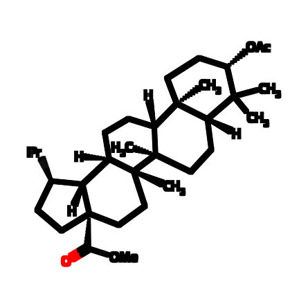 COC(=O)[C@]12CC[C@@H](C(C)C)[C@@H]1[C@H]1CC[C@@H]3[C@@]4(C)CC[C@H](OC(C)=O)C(C)(C)[C@@H]4CC[C@@]3(C)[C@]1(C)CC2